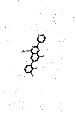 CNc1nc(-c2cccnc2)nc2c(F)cc(-c3cccc(F)c3F)cc12